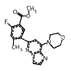 COC(=O)c1cc(-c2cc(N3CCOCC3)c3nccn3n2)c(C)cc1F